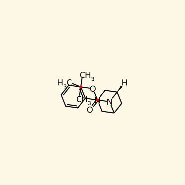 CC(C)(C)OC(=O)N1C2C[C@H]1CN(c1ccccc1)C2